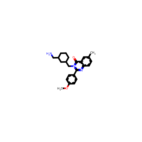 COc1ccc(-c2nc3ccc(C)cc3c(=O)n2CC2CCCC(CN)C2)cc1